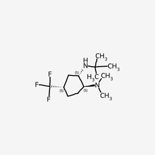 CN(C)[C@H]1CC[C@H](C(F)(F)F)C[C@@H]1NC(C)(C)C